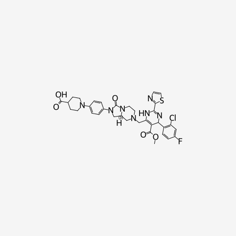 COC(=O)C1=C(CN2CCN3C(=O)N(c4ccc(N5CCC(C(=O)O)CC5)cc4)C[C@@H]3C2)NC(c2nccs2)=NC1c1ccc(F)cc1Cl